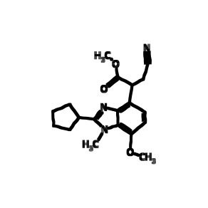 COC(=O)C(CC#N)c1ccc(OC)c2c1nc(C1CCCC1)n2C